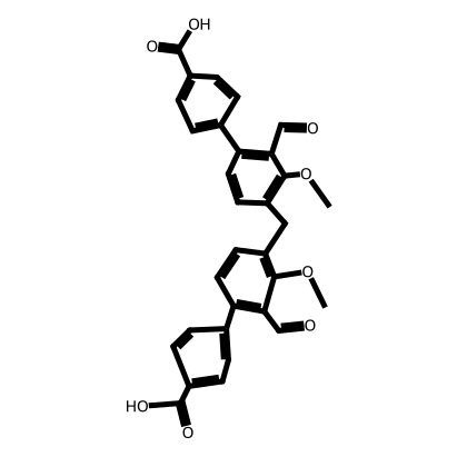 COc1c(Cc2ccc(-c3ccc(C(=O)O)cc3)c(C=O)c2OC)ccc(-c2ccc(C(=O)O)cc2)c1C=O